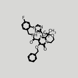 Cc1ncn(-c2cc(F)ccc2CNC(=O)c2nc3n(c(=O)c2OCc2ccccc2)CCOC3(C)C)n1